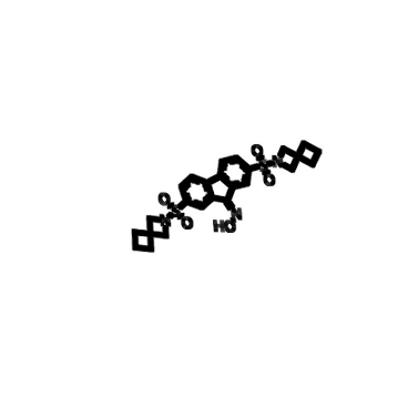 O=S(=O)(c1ccc2c(c1)C(=NO)c1cc(S(=O)(=O)N3CC4(CCC4)C3)ccc1-2)N1CC2(CCC2)C1